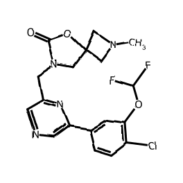 CN1CC2(C1)CN(Cc1cncc(-c3ccc(Cl)c(OC(F)F)c3)n1)C(=O)O2